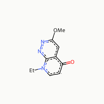 CCn1c[c]c(=O)c2cc(OC)nnc21